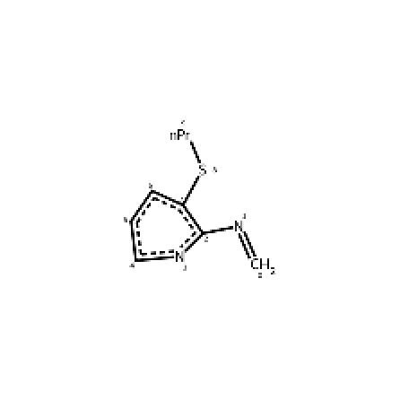 C=Nc1ncccc1SCCC